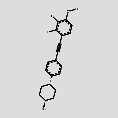 CCOc1ccc(C#Cc2ccc([C@H]3CC[C@H](CC)CC3)cc2)c(F)c1F